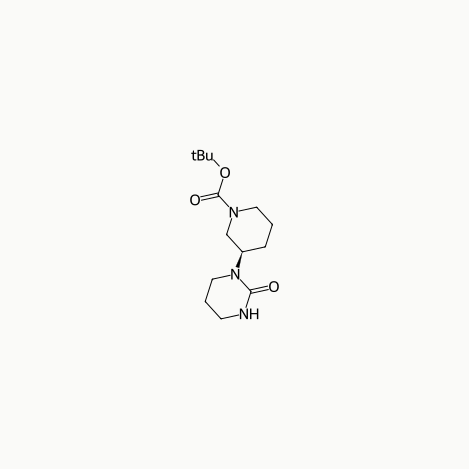 CC(C)(C)OC(=O)N1CCC[C@@H](N2CCCNC2=O)C1